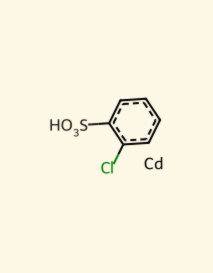 O=S(=O)(O)c1ccccc1Cl.[Cd]